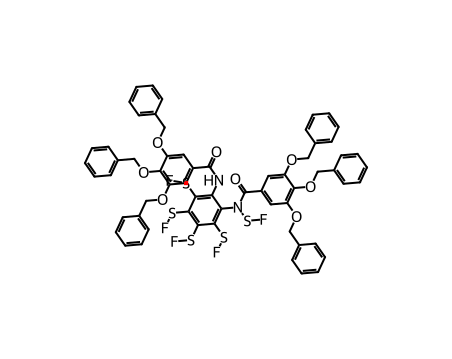 O=C(Nc1c(SF)c(SF)c(SF)c(SF)c1N(SF)C(=O)c1cc(OCc2ccccc2)c(OCc2ccccc2)c(OCc2ccccc2)c1)c1cc(OCc2ccccc2)c(OCc2ccccc2)c(OCc2ccccc2)c1